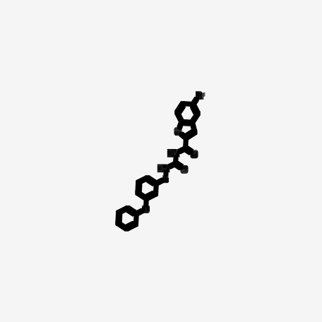 O=C(NSc1cccc(Oc2ccccc2)c1)NC(=O)c1cc2cc(Br)ccc2o1